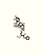 CC(CCOP1(=O)OC[C@H]2O[C@@H](n3ccc(=O)[nH]c3=O)[C@](C)(N=[N+]=[N-])[C@@H]2O1)C(=O)OC1CCCC1